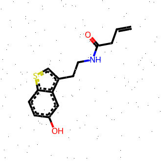 C=CCC(=O)NCCc1csc2ccc(O)cc12